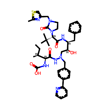 CC[C@H](C)[C@H](NC(=O)O)C(=O)NN(Cc1ccc(-c2ccccn2)cc1)C[C@H](O)[C@H](Cc1ccccc1)NC(=O)[C@@H](N1CCN(Cc2csc(C)n2)C1=O)C(C)(C)C